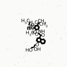 CCCS(=O)(=O)Nc1cc(C(C)(C)C)cc(NC(=O)C(=O)c2ccc(OCC(O)CO)c3ccccc23)c1OC